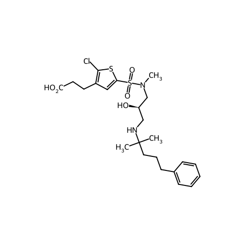 CN(C[C@H](O)CNC(C)(C)CCCc1ccccc1)S(=O)(=O)c1cc(CCC(=O)O)c(Cl)s1